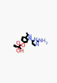 C#CC(C)(O)C(=O)Oc1ccc2c(C)nn(-c3ccnc(N)n3)c2c1